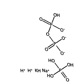 O=P(O)(O)O.O=P([O-])([O-])OP(=O)([O-])O.[H+].[H+].[KH].[Na+]